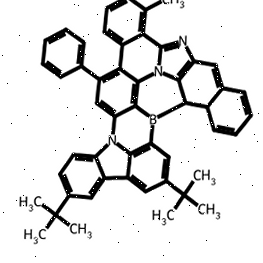 Cc1cccc2c1c1nc3c4n1c1c5c(cc(-c6ccccc6)c21)-n1c2ccc(C(C)(C)C)cc2c2cc(C(C)(C)C)cc(c21)B5C4C1C=CC=CC1=C3